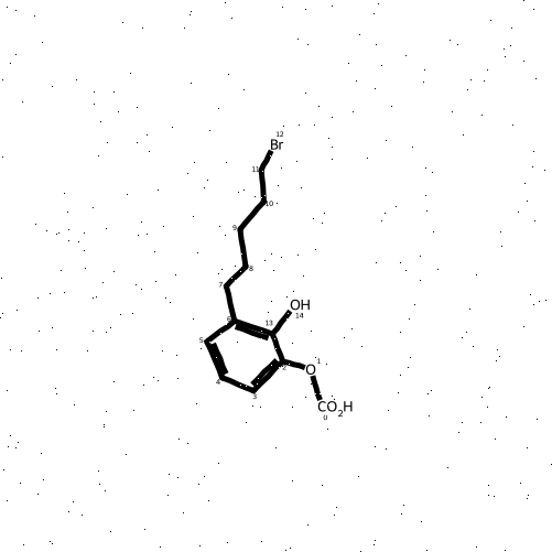 O=C(O)Oc1cccc(CCCCCBr)c1O